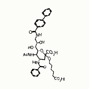 CC(=O)N[C@H]1[C@H]([C@H](O)[C@H](O)CNC(=O)c2ccc(-c3ccccc3)cc2)O[C@@](OCCCCCC(=O)O)(C(=O)O)C[C@@H]1NC(=O)c1ccccc1